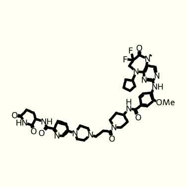 COc1cc(C(=O)NC2CCN(C(=O)CCN3CCN(c4ccc(C(=O)NC5CCC(=O)NC5=O)nc4)CC3)CC2)ccc1Nc1ncc2c(n1)N(C1CCCC1)CC(F)(F)C(=O)N2C